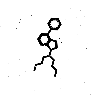 CCC[CH2][Ti]([CH2]CCC)[CH]1C=Cc2c(-c3ccccc3)cccc21